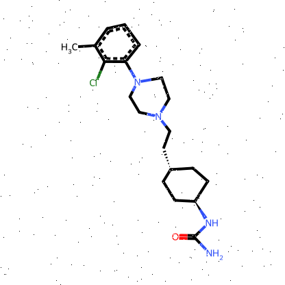 Cc1cccc(N2CCN(CC[C@H]3CC[C@H](NC(N)=O)CC3)CC2)c1Cl